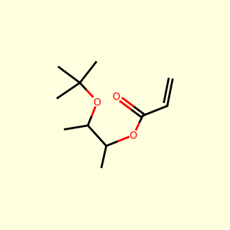 C=CC(=O)OC(C)C(C)OC(C)(C)C